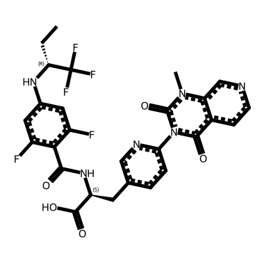 CC[C@@H](Nc1cc(F)c(C(=O)N[C@@H](Cc2ccc(-n3c(=O)c4ccncc4n(C)c3=O)nc2)C(=O)O)c(F)c1)C(F)(F)F